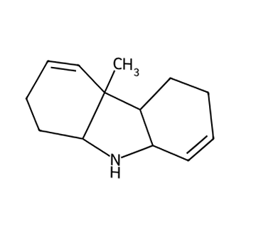 CC12C=CCCC1NC1C=CCCC12